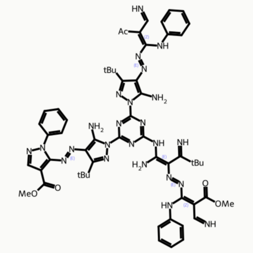 COC(=O)\C(C=N)=C(/N=N/C(C(=N)C(C)(C)C)=C(\N)Nc1nc(-n2nc(C(C)(C)C)c(/N=N/C(Nc3ccccc3)=C(/C=N)C(C)=O)c2N)nc(-n2nc(C(C)(C)C)c(/N=N/c3c(C(=O)OC)cnn3-c3ccccc3)c2N)n1)Nc1ccccc1